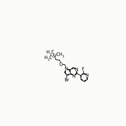 C[Si](C)(C)CCOCn1cc(Br)c2nc(-c3cccnc3F)ncc21